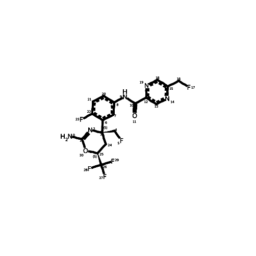 NC1=N[C@](CF)(c2cc(NC(=O)c3cnc(CF)cn3)ccc2F)C[C@@H](C(F)(F)F)O1